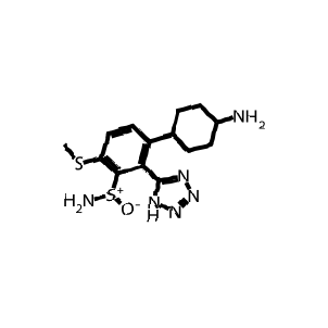 CSc1ccc(C2CCC(N)CC2)c(-c2nnn[nH]2)c1[S+](N)[O-]